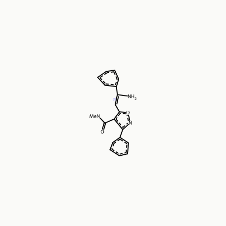 CNC(=O)c1c(-c2ccccc2)noc1/C=C(\N)c1ccccc1